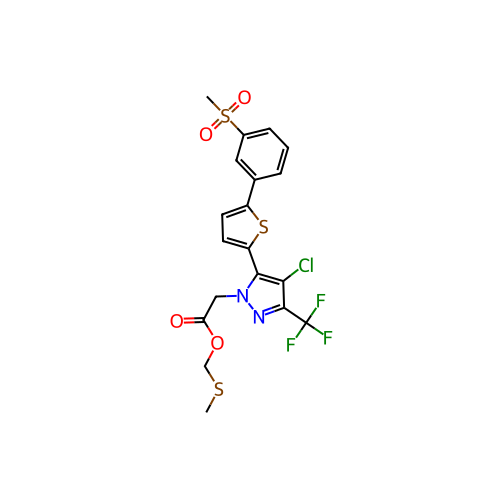 CSCOC(=O)Cn1nc(C(F)(F)F)c(Cl)c1-c1ccc(-c2cccc(S(C)(=O)=O)c2)s1